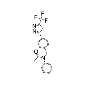 CC(=O)N(Cc1ccc(C2=NN=C(C(F)(F)F)C2)cc1)c1ccccc1